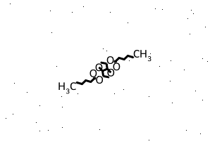 CCCCCC(=O)OC1COC2C(OC(=O)CCCCC)COC12